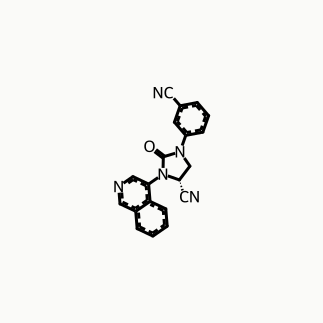 N#Cc1cccc(N2C[C@H](C#N)N(c3cncc4ccccc34)C2=O)c1